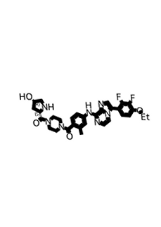 CCOc1ccc(-c2cnc3c(Nc4ccc(C(=O)N5CCN(C(=O)[C@@H]6C[C@@H](O)CN6)CC5)c(C)c4)nccn23)c(F)c1F